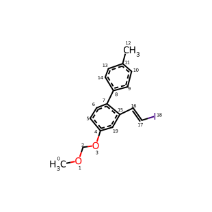 COCOc1ccc(-c2ccc(C)cc2)c(C=CI)c1